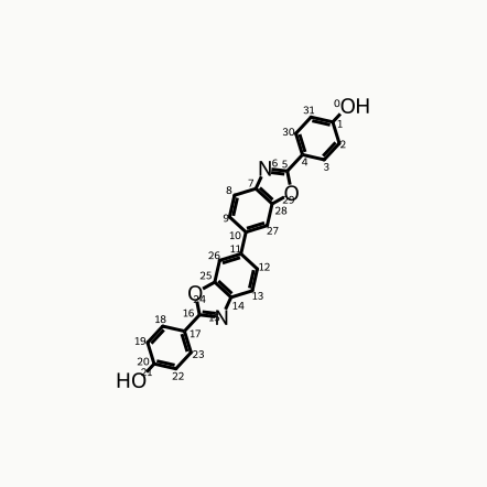 Oc1ccc(-c2nc3ccc(-c4ccc5nc(-c6ccc(O)cc6)oc5c4)cc3o2)cc1